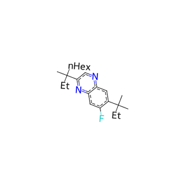 CCCCCCC(C)(CC)c1cnc2cc(C(C)(C)CC)c(F)cc2n1